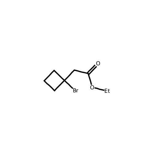 CCOC(=O)CC1(Br)CCC1